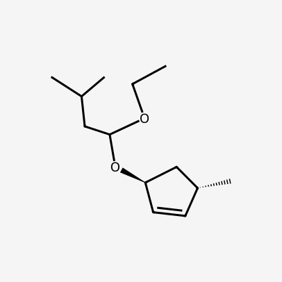 CCOC(CC(C)C)O[C@@H]1C=C[C@@H](C)C1